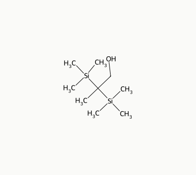 CC(CO)([Si](C)(C)C)[Si](C)(C)C